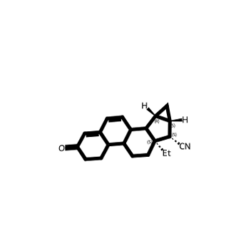 CC[C@]12CCC3C4CCC(=O)C=C4C=CC3C1[C@@H]1C[C@@H]1[C@@H]2C#N